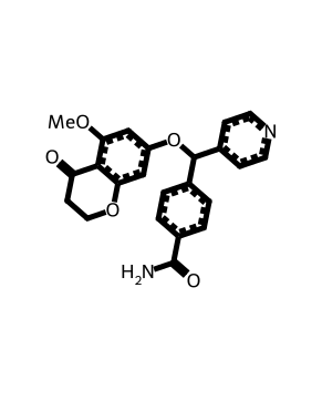 COc1cc(OC(c2ccncc2)c2ccc(C(N)=O)cc2)cc2c1C(=O)CCO2